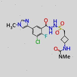 CNC(=O)N[C@H]1C[C@@H](CS(=O)(=O)NNC(=O)c2cc(-c3cn(C)cn3)cc(Cl)c2F)C1